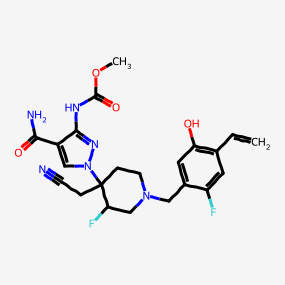 C=Cc1cc(F)c(CN2CCC(CC#N)(n3cc(C(N)=O)c(NC(=O)OC)n3)C(F)C2)cc1O